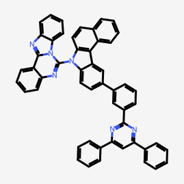 c1ccc(-c2cc(-c3ccccc3)nc(-c3cccc(-c4ccc5c(c4)c4c6ccccc6ccc4n5-c4nc5ccccc5c5nc6ccccc6n45)c3)n2)cc1